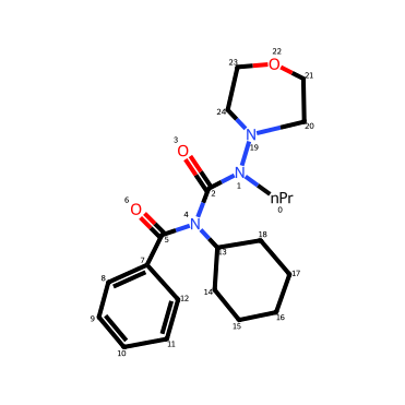 CCCN(C(=O)N(C(=O)c1ccccc1)C1CCCCC1)N1CCOCC1